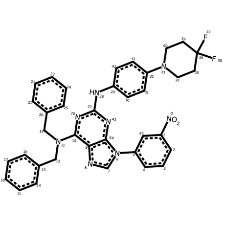 O=[N+]([O-])c1cccc(-n2cnc3c(N(Cc4ccccc4)Cc4ccccc4)nc(Nc4ccc(N5CCC(F)(F)CC5)cc4)nc32)c1